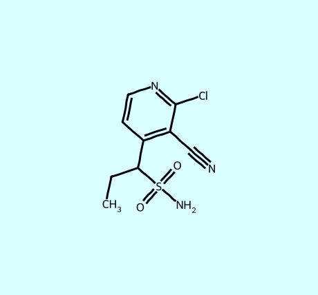 CCC(c1ccnc(Cl)c1C#N)S(N)(=O)=O